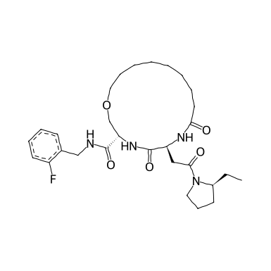 CC[C@H]1CCCN1C(=O)C[C@@H]1NC(=O)CCCCCCCCOC[C@@H](C(=O)NCc2ccccc2F)NC1=O